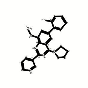 COc1cc(-c2ccccc2F)cc2c(N3CCCC3)nc(-c3cccnc3)nc12